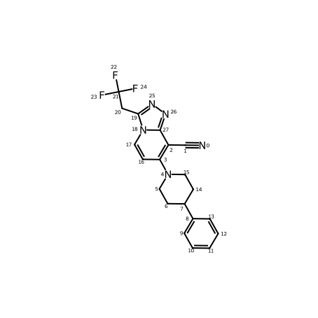 N#Cc1c(N2CCC(c3ccccc3)CC2)ccn2c(CC(F)(F)F)nnc12